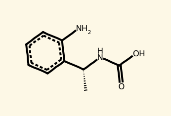 C[C@@H](NC(=O)O)c1ccccc1N